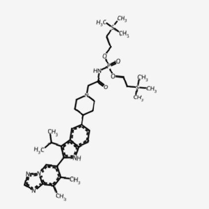 Cc1c(-c2[nH]c3ccc(C4CCN(CC(=O)NP(=O)(OCCS(C)(C)C)OCCS(C)(C)C)CC4)cc3c2C(C)C)cn2ncnc2c1C